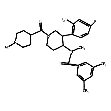 CC(=O)N1CCC(C(=O)N2CCC(N(C)C(=O)c3cc(C(F)(F)F)cc(C(F)(F)F)c3)C(c3ccc(F)cc3C)C2)CC1